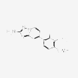 COc1ccc(-c2ccn3nc(N)nc3c2)c(F)c1C(=O)O